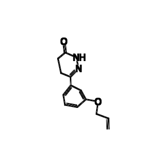 C=CCOc1cccc(C2=NNC(=O)CC2)c1